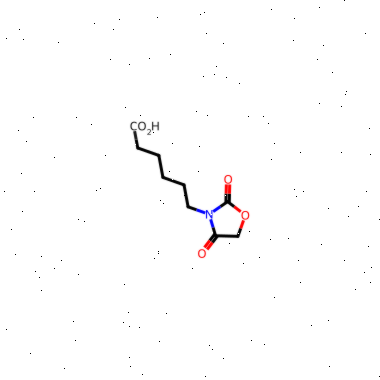 O=C(O)CCCCCN1C(=O)COC1=O